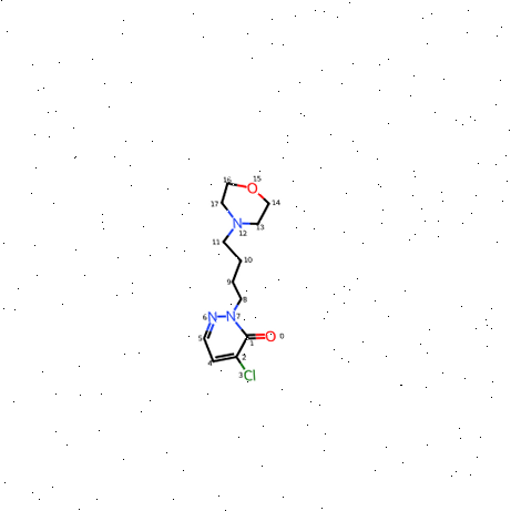 O=c1c(Cl)ccnn1CCCCN1CCOCC1